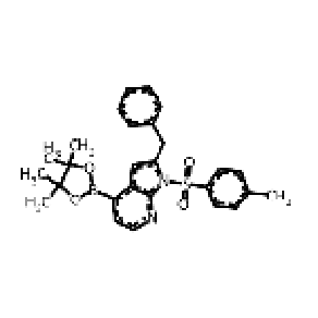 Cc1ccc(S(=O)(=O)n2c(Cc3ccccc3)cc3c(B4OC(C)(C)C(C)(C)O4)ccnc32)cc1